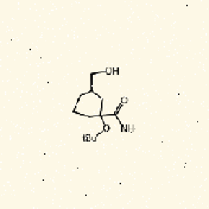 CC(C)(C)OC1(C([NH])=O)CCCC(CO)C1